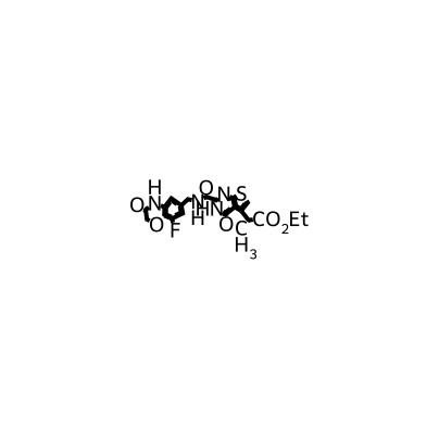 CCOC(=O)C(C)c1csc2nc(C(=O)NCc3cc(F)c4c(c3)NC(=O)CO4)[nH]c(=O)c12